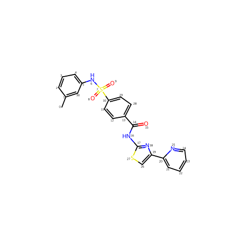 Cc1cccc(NS(=O)(=O)c2ccc(C(=O)Nc3nc(-c4ccccn4)cs3)cc2)c1